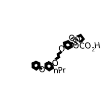 CCCc1cc(Oc2ccccc2)ccc1OCCCCOc1ccc(S(=O)(=O)N2CCCC2C(=O)O)cc1